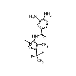 Cn1nc(C(F)(F)C(F)(F)F)c(C(F)(F)F)c1NC(=O)c1ccc(N)c(N)n1